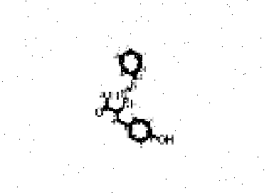 O=C(O)[C@H](Cc1ccc(O)cc1)NN=Nc1ccccc1